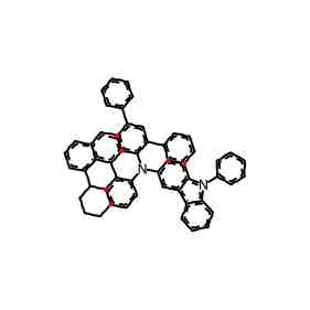 c1ccc(-c2ccc(N(c3ccc4c(c3)c3ccccc3n4-c3ccccc3)c3ccccc3-c3cccc4cccc(C5CCCCC5)c34)c(-c3ccccc3)c2)cc1